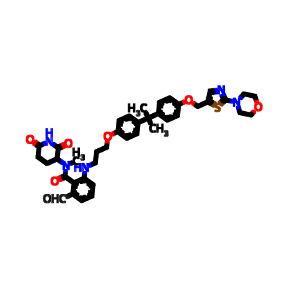 CN(C(=O)c1c(C=O)cccc1NCCCOc1ccc(C(C)(C)c2ccc(OCc3cnc(N4CCOCC4)s3)cc2)cc1)C1CCC(=O)NC1=O